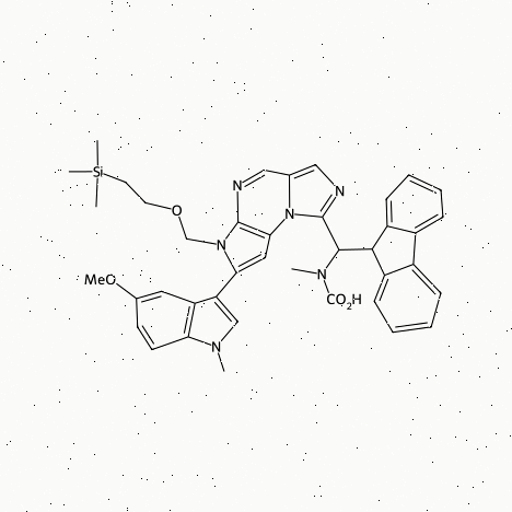 COc1ccc2c(c1)c(-c1cc3c(ncc4cnc(C(C5c6ccccc6-c6ccccc65)N(C)C(=O)O)n43)n1COCC[Si](C)(C)C)cn2C